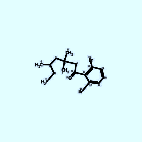 CC(CP)CC(C)(C)CC(=O)c1c(Br)cccc1Br